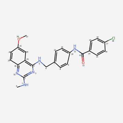 CNc1nc(NCc2ccc(NC(=O)c3ccc(Cl)cc3)cc2)c2cc(OC)ccc2n1